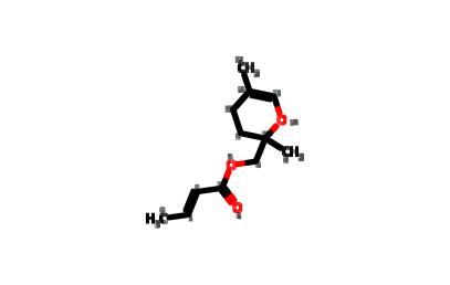 CC=CC(=O)OCC1(C)CCC(C)=CO1